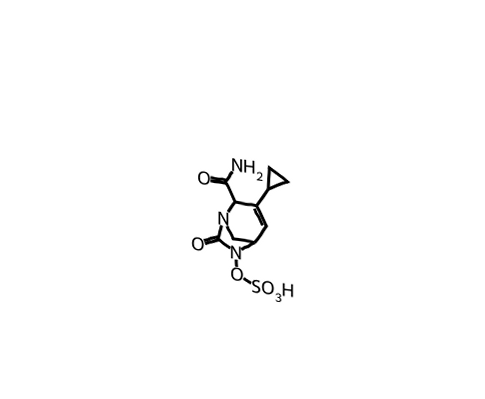 NC(=O)C1C(C2CC2)=CC2CN1C(=O)N2OS(=O)(=O)O